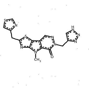 Cn1c2nc(Cc3cscn3)sc2c2cnn(Cc3c[nH]nn3)c(=O)c21